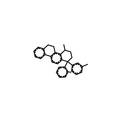 Cc1cccc(C2(c3ccccc3F)CCC(C)c3c2ccc2c3CCc3ccccc3-2)c1